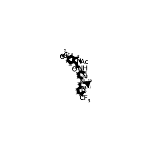 CC(=O)N1Cc2cc([S+](C)[O-])ccc2C1C(=O)Nc1ccc(N(Cc2ccc(C(F)(F)F)cn2)C2CC2)nc1